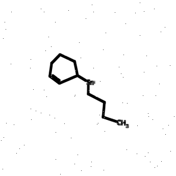 CCC[CH2][Sn][CH]1C=CCCC1